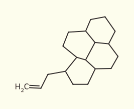 C=CCC1CCC2CCC3CCCC4CCC1C2C34